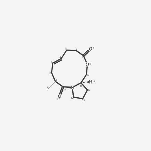 C[C@@H]1C/C=C/CCC(=O)OC[C@H]2CCCN2C1=O